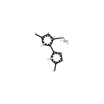 Cc1ccc(-c2sc(C)cc2N)s1.Cl